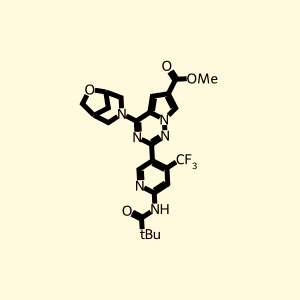 COC(=O)c1cc2c(N3CC4COC(C4)C3)nc(-c3cnc(NC(=O)C(C)(C)C)cc3C(F)(F)F)nn2c1